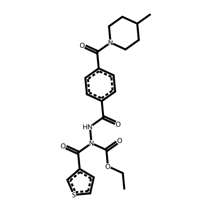 CCOC(=O)N(NC(=O)c1ccc(C(=O)N2CCC(C)CC2)cc1)C(=O)c1ccsc1